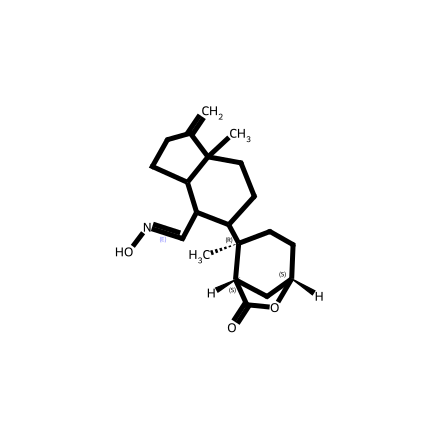 C=C1CCC2C(/C=N/O)C([C@@]3(C)CC[C@H]4C[C@@H]3C(=O)O4)CCC12C